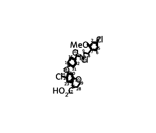 COc1cc(Cl)ccc1CCN(Cl)C(=O)c1ccc(Oc2cc3c(cc2Cl)C(C(=O)O)CCO3)cc1